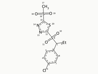 CCC(c1ccc(Cl)cc1)S(=O)(=O)c1nnc(S(C)(=O)=O)s1